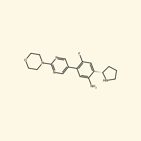 Nc1cc(-c2cnc(N3CCOCC3)nc2)c(F)cc1[C@@H]1CCCN1